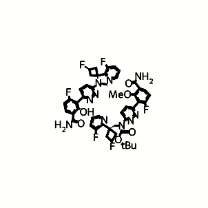 CN(c1ccc(-c2c(F)ccc(C(N)=O)c2O)nn1)[C@]1(c2ncccc2F)C[C@@H](F)C1.COc1c(C(N)=O)ccc(F)c1-c1ccc(N(C[C@]2(c3ncccc3F)C[C@H](F)C2)C(=O)OC(C)(C)C)nn1